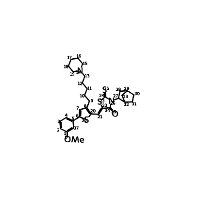 COc1cccc(-c2cc(CCCCCN3CCCCC3)c(/C=C3\SC(=S)N(C4CC5CCC4C5)C3=O)s2)c1